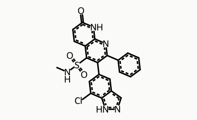 CNS(=O)(=O)c1c(-c2cc(Cl)c3[nH]ncc3c2)c(-c2ccccc2)nc2[nH]c(=O)ccc12